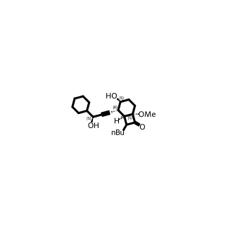 CCCCC1C(=O)[C@]2(OC)CC[C@H](O)[C@@H](C#C[C@@H](O)C3CCCCC3)[C@H]12